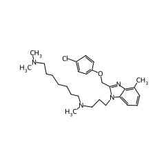 Cc1cccc2c1nc(COc1ccc(Cl)cc1)n2CCCN(C)CCCCCCCN(C)C